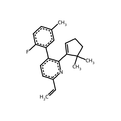 C=Cc1ccc(-c2cc(C)ccc2F)c(C2=CCCC2(C)C)n1